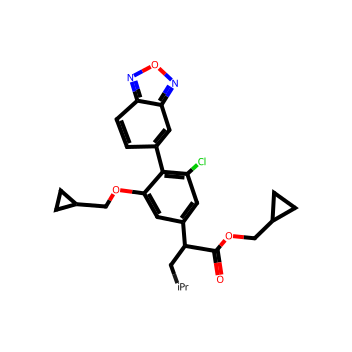 CC(C)CC(C(=O)OCC1CC1)c1cc(Cl)c(-c2ccc3nonc3c2)c(OCC2CC2)c1